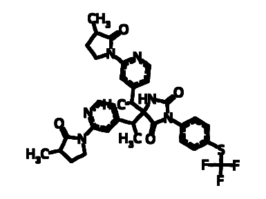 CC1CCN(c2cc(C(C)C3(C(C)c4ccnc(N5CCC(C)C5=O)c4)NC(=O)N(c4ccc(SC(F)(F)F)cc4)C3=O)ccn2)C1=O